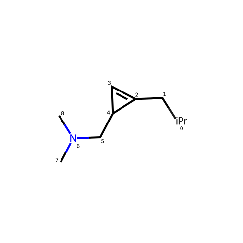 CC(C)CC1=CC1CN(C)C